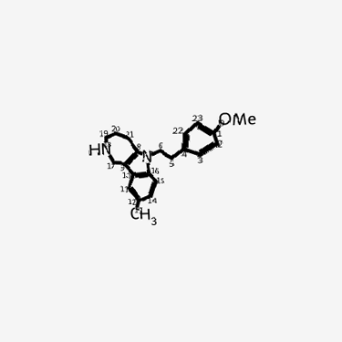 COc1ccc(CCn2c3c(c4cc(C)ccc42)CNCCC3)cc1